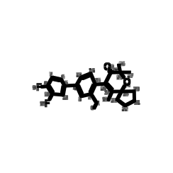 CCc1cc(-c2ccc(F)c(F)c2)ccc1C1=C(C)C2(CCCC2)OC(C)(C)C1=O